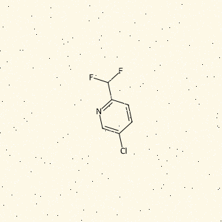 FC(F)c1ccc(Cl)cn1